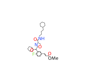 COC(=O)/C=C/c1ccc(F)c(C(C2=NC(C(=O)NCCCCC3CCCCC3)CO2)[C@H]2CC3CCC2O3)c1